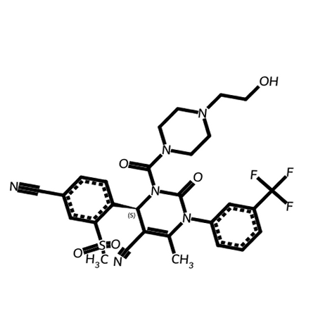 CC1=C(C#N)[C@@H](c2ccc(C#N)cc2S(C)(=O)=O)N(C(=O)N2CCN(CCO)CC2)C(=O)N1c1cccc(C(F)(F)F)c1